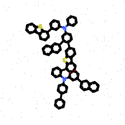 c1ccc(-c2ccc(N(c3cccc(-c4ccc5ccccc5c4)c3)c3ccccc3-c3cccc4c3sc3cc(-c5ccc(N(c6ccccc6)c6cccc(-c7cccc8c7sc7ccccc78)c6)cc5-c5ccc6ccccc6c5)ccc34)cc2)cc1